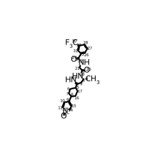 C[C@H](CC(=N)C1CCC(c2cc[n+]([O-])cc2)CC1)NC(=O)CNC(=O)c1cccc(C(F)(F)F)c1